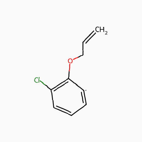 C=CCOc1[c]cccc1Cl